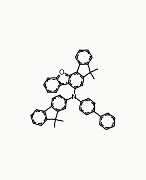 CC1(C)c2ccccc2-c2ccc(N(c3ccc(-c4ccccc4)cc3)c3cc4c(c5oc6ccccc6c35)-c3ccccc3C4(C)C)cc21